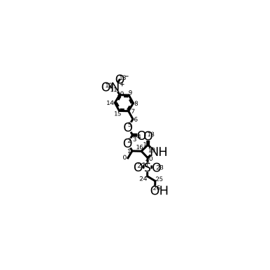 CC(OC(=O)OCc1ccc([N+](=O)[O-])cc1)C1C(=O)NC1S(=O)(=O)CCO